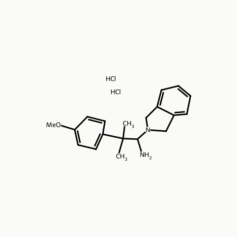 COc1ccc(C(C)(C)C(N)N2Cc3ccccc3C2)cc1.Cl.Cl